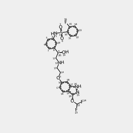 O=S(=O)(Nc1cccc([C@@H](O)CNCCOc2ccc3c(OC(F)F)n[nH]c3c2)c1)c1ccccc1F